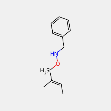 CC=C(C)[SiH2]ONCc1ccccc1